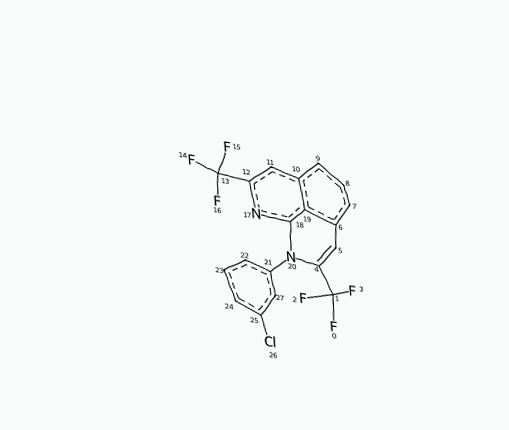 FC(F)(F)C1=Cc2cccc3cc(C(F)(F)F)nc(c23)N1c1cccc(Cl)c1